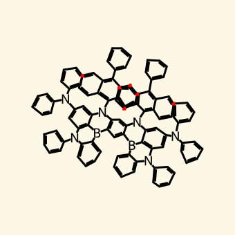 c1ccc(-c2c3ccccc3c(N3c4cc5c(cc4B4c6ccccc6N(c6ccccc6)c6cc(N(c7ccccc7)c7ccccc7)cc3c64)B3c4ccccc4N(c4ccccc4)c4cc(N(c6ccccc6)c6ccccc6)cc(c43)N5c3c4ccccc4c(-c4ccccc4)c4ccccc34)c3ccccc23)cc1